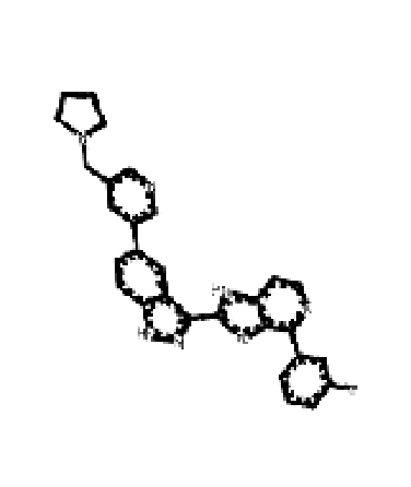 Fc1cccc(-c2nccc3[nH]c(-c4n[nH]c5ccc(-c6cncc(CN7CCCC7)c6)cc45)nc23)c1